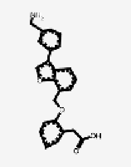 NCc1cccc(-c2coc3c(COc4ccccc4CC(=O)O)cccc23)c1